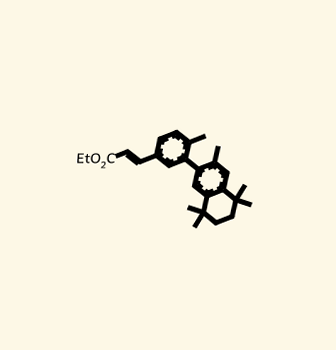 CCOC(=O)/C=C/c1ccc(C)c(-c2cc3c(cc2C)C(C)(C)CCC3(C)C)c1